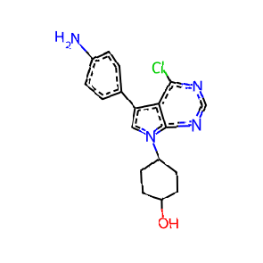 Nc1ccc(-c2cn(C3CCC(O)CC3)c3ncnc(Cl)c23)cc1